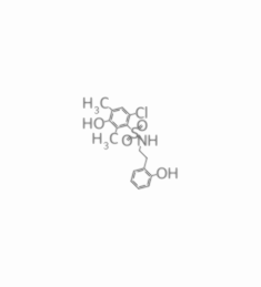 Cc1cc(Cl)c(S(=O)(=O)NCCc2ccccc2O)c(C)c1O